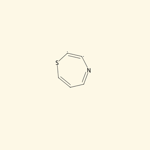 [C]1=[C]SC=CC=N1